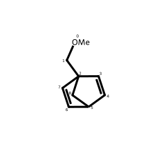 COCC12C=CC(C=C1)C2